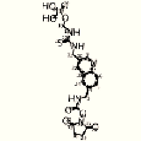 O=C(NCc1ccc2ncc(CNC(=S)NCOP(=O)(O)O)cc2c1)ON1C(=O)CCC1=O